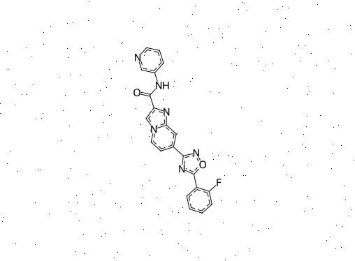 O=C(Nc1cccnc1)c1cn2ccc(-c3noc(-c4ccccc4F)n3)cc2n1